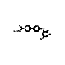 CCCCOC(=O)N1CC=C(c2ccc(Nc3cc(Br)cn(C)c3=O)nc2)CC1